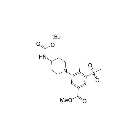 COC(=O)c1cc(N2CCC(NC(=O)OC(C)(C)C)CC2)c(C)c(S(C)(=O)=O)c1